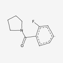 O=C(c1cc[c]cc1F)N1CCCC1